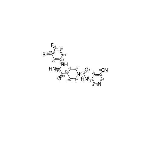 N#Cc1cncc(NC(=O)N2CCC(C(=O)C(=N)Nc3ccc(F)c(Br)c3)CC2)c1